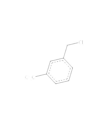 ClCc1cccc(C(Cl)(Cl)Cl)c1